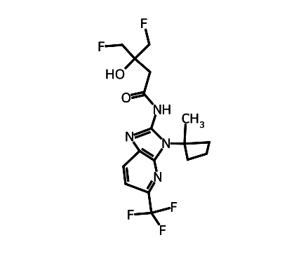 CC1(n2c(NC(=O)CC(O)(CF)CF)nc3ccc(C(F)(F)F)nc32)CCC1